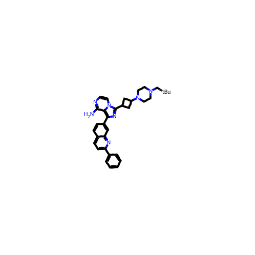 CC(C)(C)CN1CCN(C2CC(c3nc(-c4ccc5ccc(-c6ccccc6)nc5c4)c4c(N)nccn34)C2)CC1